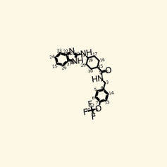 O=C(NCc1ccc(OC(F)(F)F)cc1)C1CCC(Nc2nc3ccccc3[nH]2)CC1